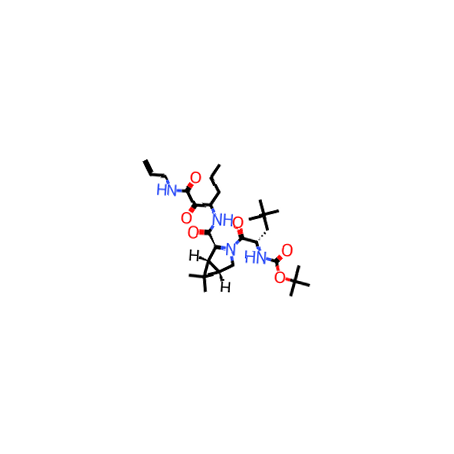 C=CCNC(=O)C(=O)C(CCC)NC(=O)[C@@H]1[C@@H]2[C@H](CN1C(=O)[C@H](CC(C)(C)C)NC(=O)OC(C)(C)C)C2(C)C